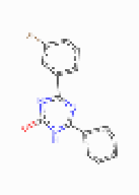 O=c1nc(-c2cccc(Br)c2)nc(-c2ccccc2)[nH]1